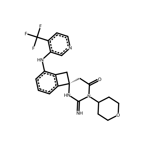 N=C1N[C@]2(CC(=O)N1C1CCOCC1)Cc1c(Nc3cnccc3C(F)(F)F)cccc12